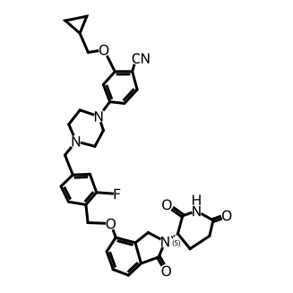 N#Cc1ccc(N2CCN(Cc3ccc(COc4cccc5c4CN([C@H]4CCC(=O)NC4=O)C5=O)c(F)c3)CC2)cc1OCC1CC1